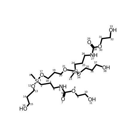 C[Si](CCCNC(=O)OCCO)(OCCCO)OCCCO[Si](C)(CCCNC(=O)OCCO)OCCCO